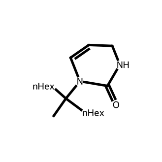 CCCCCCC(C)(CCCCCC)N1C=CCNC1=O